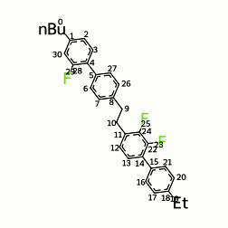 CCCCc1ccc(-c2ccc(CCc3ccc(-c4ccc(CC)cc4)c(F)c3F)cc2)c(F)c1